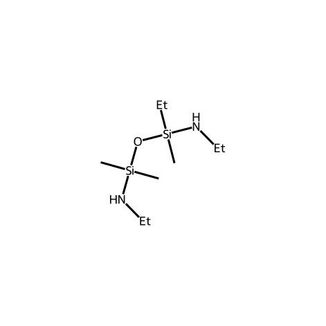 CCN[Si](C)(C)O[Si](C)(CC)NCC